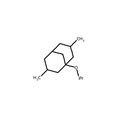 CC1CC2CC(C)CC(OC(C)C)(C1)C2